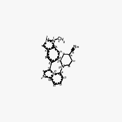 Cn1ncc2cc(-c3cnc4cccc(N5CCC(C#N)CC5)n34)ccc21